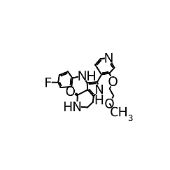 COCCOc1cnccc1-c1[nH]c2c(c1Nc1ccc(F)cc1)C(=O)NCC2